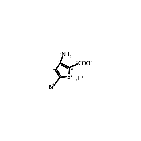 Nc1cc(Br)sc1C(=O)[O-].[Li+]